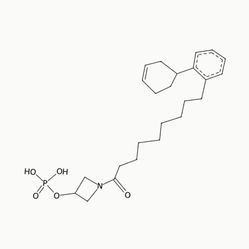 O=C(CCCCCCCCc1ccccc1C1CC=CCC1)N1CC(OP(=O)(O)O)C1